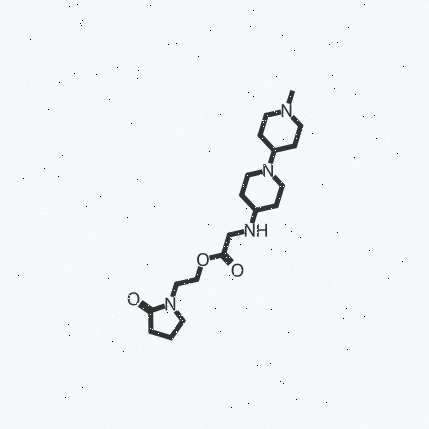 CN1CCC(N2CCC(NCC(=O)OCCN3CCCC3=O)CC2)CC1